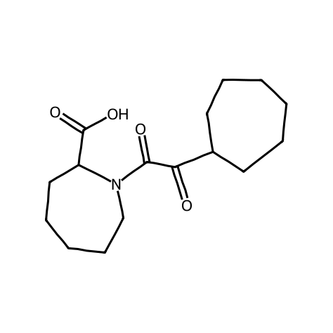 O=C(C(=O)N1CCCCCC1C(=O)O)C1CCCCCC1